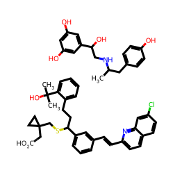 CC(C)(O)c1ccccc1CCC(SCC1(CC(=O)O)CC1)c1cccc(C=Cc2ccc3ccc(Cl)cc3n2)c1.CC(Cc1ccc(O)cc1)NCC(O)c1cc(O)cc(O)c1